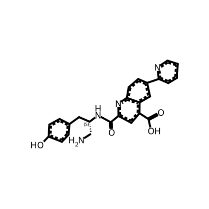 NC[C@H](Cc1ccc(O)cc1)NC(=O)c1cc(C(=O)O)c2cc(-c3ccccn3)ccc2n1